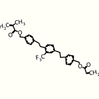 C=CC(=O)OCc1ccc(CCc2ccc(CCc3ccc(COC(=O)C(=C)C)cc3)c(C(F)(F)F)c2)cc1